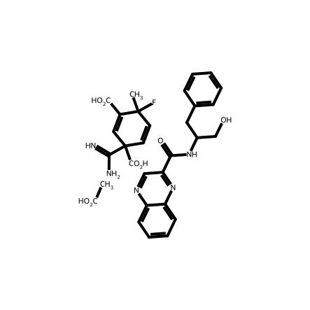 CC(=O)O.CC1(F)C=CC(C(=N)N)(C(=O)O)C=C1C(=O)O.O=C(NC(CO)Cc1ccccc1)c1cnc2ccccc2n1